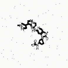 COC(=O)N[C@@H]1CC[C@@H](n2c(=O)n(C)c3cnc(Nc4ccn5ncc(-c6cnn(C)c6)c5n4)cc32)C1